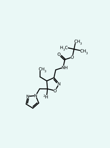 [2H]C1(Cn2cccn2)ON=C(CNC(=O)OC(C)(C)C)C1CC